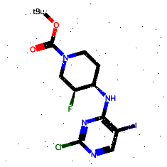 CC(C)(C)OC(=O)N1CC[C@@H](Nc2nc(Cl)ncc2I)[C@@H](F)C1